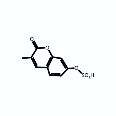 Cc1cc2ccc(OS(=O)(=O)O)cc2oc1=O